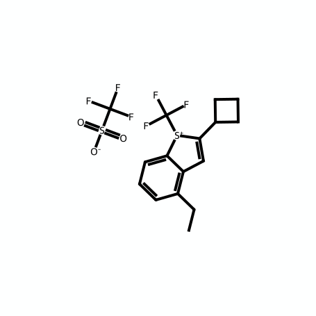 CCc1cccc2c1cc(C1CCC1)[s+]2C(F)(F)F.O=S(=O)([O-])C(F)(F)F